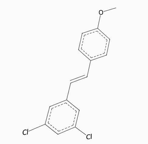 COc1ccc(C=Cc2cc(Cl)cc(Cl)c2)cc1